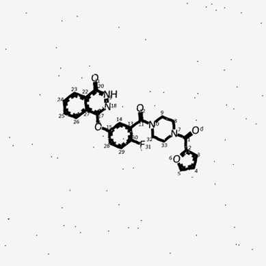 O=C(c1ccco1)N1CCN(C(=O)c2cc(Oc3n[nH]c(=O)c4ccccc34)ccc2F)CC1